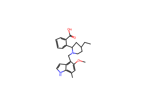 CCC1CCN(Cc2c(OC)cc(C)c3[nH]ccc23)C(c2ccccc2C(=O)O)C1